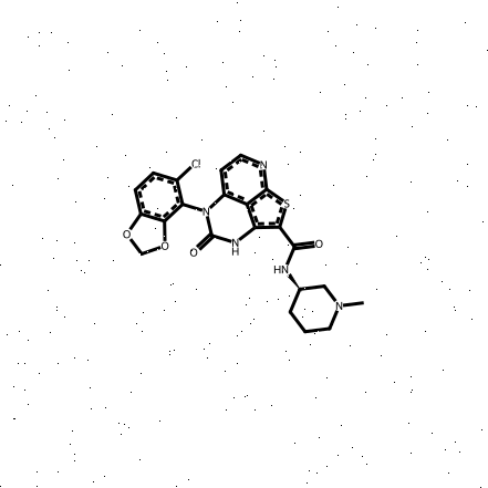 CN1CCC[C@@H](NC(=O)c2sc3nccc4c3c2NC(=O)N4c2c(Cl)ccc3c2OCO3)C1